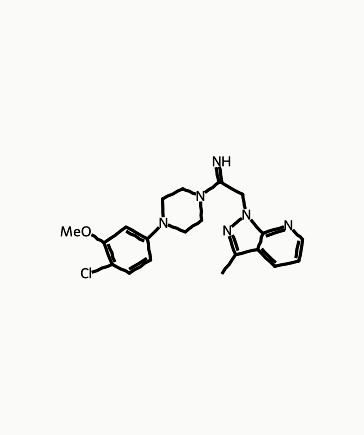 COc1cc(N2CCN(C(=N)Cn3nc(C)c4cccnc43)CC2)ccc1Cl